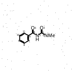 [CH2]NC(=O)NC(=O)c1ccccc1